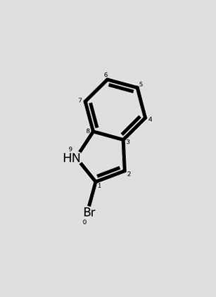 Brc1cc2ccccc2[nH]1